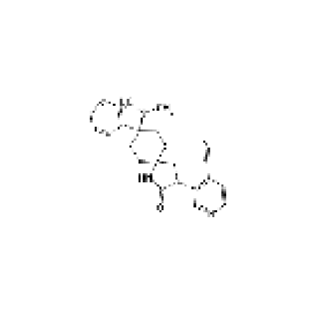 CN(C)[C@]1(c2ccccc2)CC[C@@]2(CC1)CN(c1cnccc1C#N)C(=O)N2